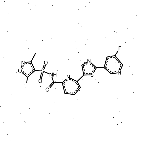 Cc1noc(C)c1S(=O)(=O)NC(=O)c1cccc(-c2cnc(-c3cncc(F)c3)s2)n1